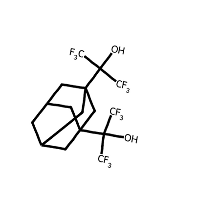 OC(C(F)(F)F)(C(F)(F)F)C12CC3CC(C1)CC(C(O)(C(F)(F)F)C(F)(F)F)(C3)C2